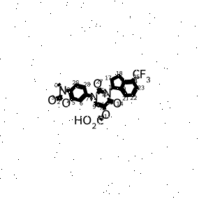 Cn1c(=O)oc2cc(-n3cc(OC(=O)O)c(=O)n([C@H]4CCc5c4cccc5C(F)(F)F)c3=O)ccc21